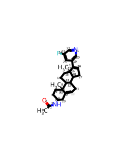 CC(=O)N[C@@H]1CC[C@@]2(C)C(=CCC3C2CC[C@]2(C)C(c4cncc(F)c4)=CCC32)C1